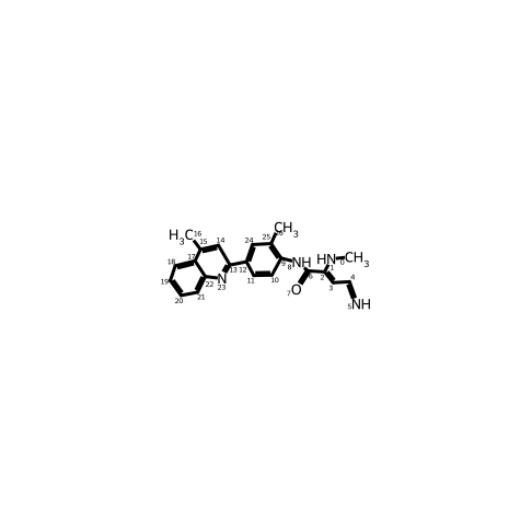 CN/C(=C\C=N)C(=O)Nc1ccc(-c2cc(C)c3ccccc3n2)cc1C